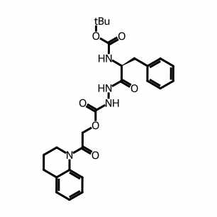 CC(C)(C)OC(=O)N[C@@H](Cc1ccccc1)C(=O)NNC(=O)OCC(=O)N1CCCc2ccccc21